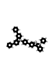 c1ccc(-c2ccc3c(c2)c2cc(-c4ccccc4)ccc2n3-c2ccc(-c3ccc4c(c3)oc3c4c4ccccc4n3-c3ccccc3)cc2)cc1